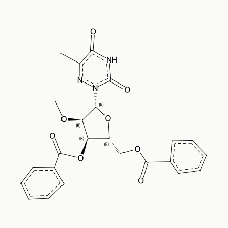 CO[C@@H]1[C@H](OC(=O)c2ccccc2)[C@@H](COC(=O)c2ccccc2)O[C@H]1n1nc(C)c(=O)[nH]c1=O